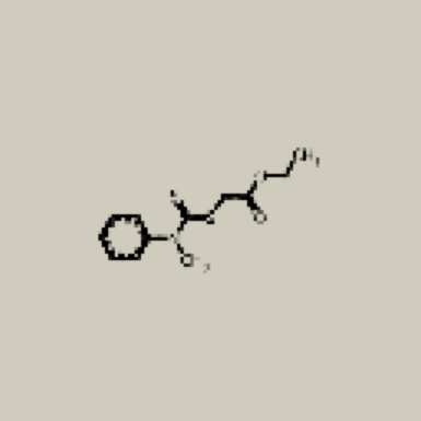 CCOC(=O)CSC(=S)N(C)c1ccccc1